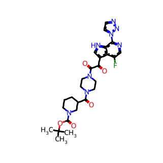 CC(C)(C)OC(=O)N1CCCC(C(=O)N2CCN(C(=O)C(=O)c3c[nH]c4c(-n5ccnn5)ncc(F)c34)CC2)C1